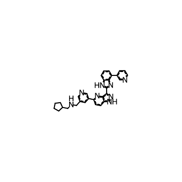 c1cncc(-c2cccc3[nH]c(-c4n[nH]c5ccc(-c6cncc(CNCC7CCCC7)c6)nc45)nc23)c1